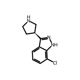 Clc1cccc2c([C@H]3CCNC3)n[nH]c12